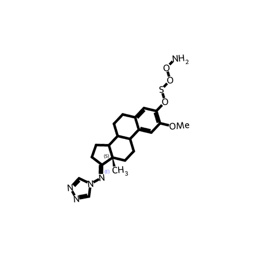 COc1cc2c(cc1OSOON)CCC1C2CC[C@]2(C)/C(=N/n3cnnc3)CCC12